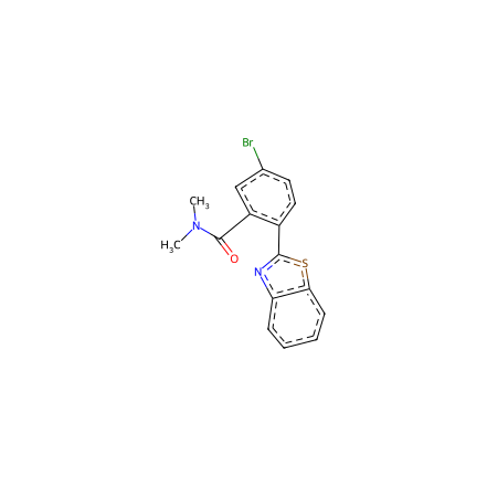 CN(C)C(=O)c1cc(Br)ccc1-c1nc2ccccc2s1